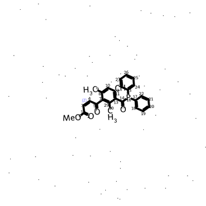 COC(=O)/C=C\C(=O)c1c(C)cc(C)c(C(=O)P(c2ccccc2)c2ccccc2)c1C